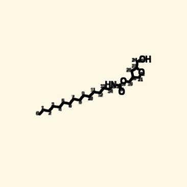 CCCCCCCCCCCCCCCNC(=O)OCC1COC(CO)C1